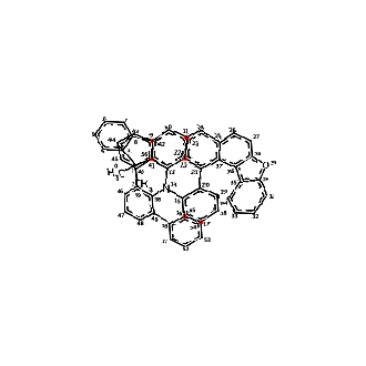 CC1(C)c2ccccc2-c2cccc(N(c3ccccc3-c3cccc4ccc5oc6ccccc6c5c34)c3c(-c4ccccc4)cccc3-c3ccccc3)c21